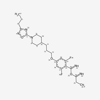 CCCc1noc(N2CCC(CCCOc3cc(F)c(C(=N)OC(=N)CC)c(F)c3)CC2)n1